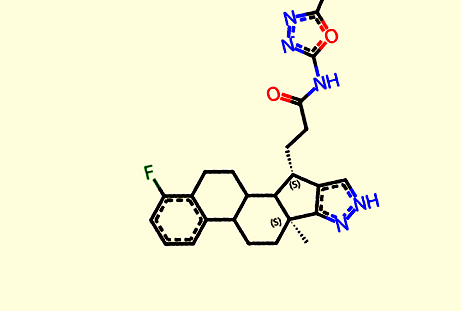 Cc1nnc(NC(=O)CC[C@@H]2c3c[nH]nc3[C@@]3(C)CCC4c5cccc(F)c5CCC4C23)o1